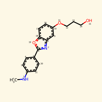 CNc1ccc(-c2nc3cc(OCCCO)ccc3o2)cc1